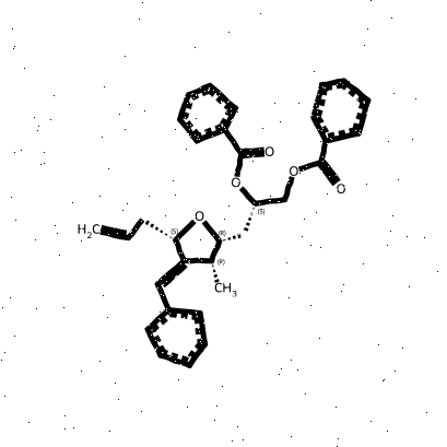 C=CC[C@@H]1O[C@H](C[C@@H](COC(=O)c2ccccc2)OC(=O)c2ccccc2)[C@H](C)C1=Cc1ccccc1